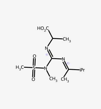 C/C(=N\C(=N/C(C)C(=O)O)N(C)S(C)(=O)=O)C(C)C